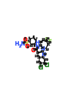 NS(=O)(=O)c1cccc(NC(=O)c2cc3cc(Cl)c(Cl)cc3nc2N2CCCC(F)(F)CC2)c1